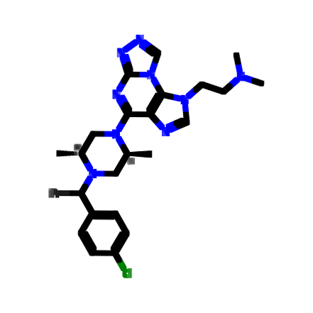 CC(C)C(c1ccc(Cl)cc1)N1C[C@H](C)N(c2nc3nncn3c3c2ncn3CCN(C)C)C[C@H]1C